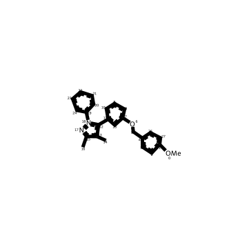 COc1ccc(COc2cccc(-c3c(C)c(C)nn3-c3ccccc3)c2)cc1